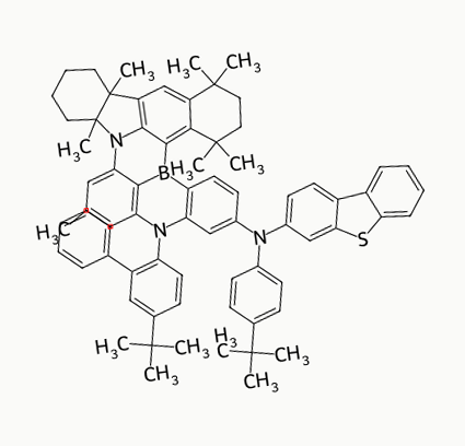 Cc1cc2c3c(c1)N1c4c(cc5c(c4B3c3ccc(N(c4ccc(C(C)(C)C)cc4)c4ccc6c(c4)sc4ccccc46)cc3N2c2ccc(C(C)(C)C)cc2-c2ccccc2)C(C)(C)CCC5(C)C)C2(C)CCCCC12C